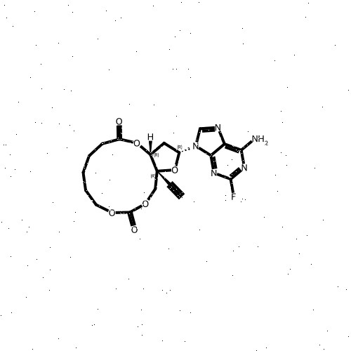 C#C[C@@]12COC(=O)OCCCCCC(=O)O[C@@H]1C[C@H](n1cnc3c(N)nc(F)nc31)O2